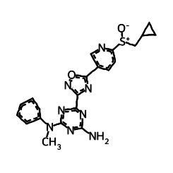 CN(c1ccccc1)c1nc(N)nc(-c2noc(-c3ccc([S+]([O-])CC4CC4)nc3)n2)n1